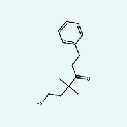 CC(C)(CCS)C(=O)CCc1ccccc1